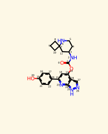 O=C(NC1CCNC2(CCC2)C1)Oc1cc(-c2ccc(O)cc2)nc2[nH]ncc12